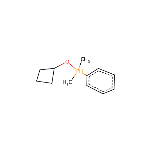 C[PH](C)(OC1CCC1)c1ccccc1